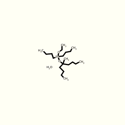 CCCCC(C)(CCCC)[O][Sn]([CH2]CCC)([CH2]CCC)[O]CC.O